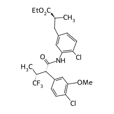 CCOC(=O)[C@@H](C)Cc1ccc(Cl)c(NC(=O)[C@H](c2ccc(Cl)c(OC)c2)[C@@H](C)C(F)(F)F)c1